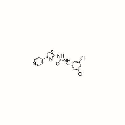 O=C(NCc1cc(Cl)cc(Cl)c1)Nc1nc(-c2ccncc2)cs1